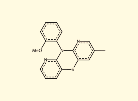 COc1ccccc1N1c2ncccc2Sc2cc(C)cnc21